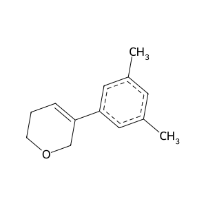 Cc1cc(C)cc(C2=CCCOC2)c1